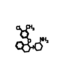 Cc1cc(OC2c3ccccc3CCC2N2CCC[C@@H](N)C2)ccc1Cl